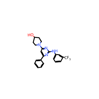 OC1CCN(c2cc(-c3ccccc3)nc(Nc3cccc(C(F)(F)F)c3)n2)CC1